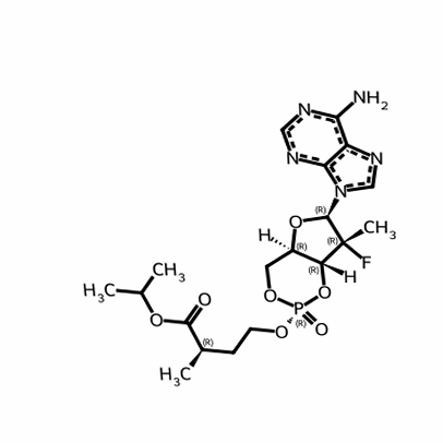 CC(C)OC(=O)[C@H](C)CCO[P@]1(=O)OC[C@H]2O[C@@H](n3cnc4c(N)ncnc43)[C@](C)(F)[C@@H]2O1